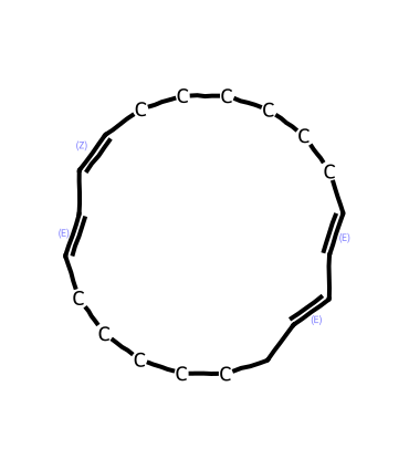 C1=C\CCCCCC/C=C/C=C/CCCCCC/C=C/1